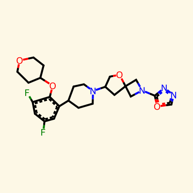 Fc1cc(F)c(OC2CCOCC2)c(C2CCN(C3COC4(C3)CN(c3nnco3)C4)CC2)c1